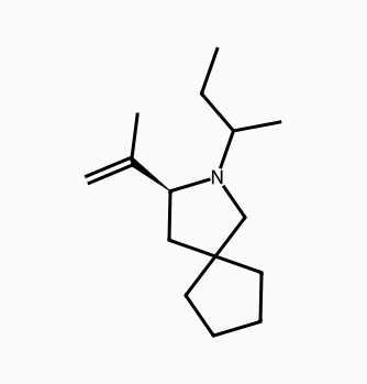 C=C(C)[C@@H]1CC2(CCCC2)CN1C(C)CC